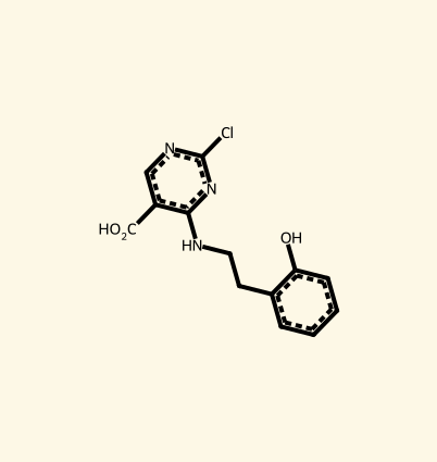 O=C(O)c1cnc(Cl)nc1NCCc1ccccc1O